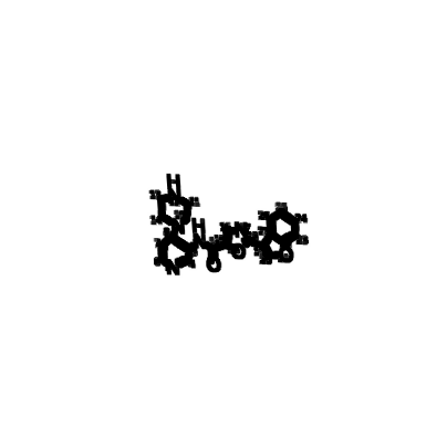 O=C(Nc1cnccc1N1CCNCC1)c1cnc(-c2coc3ccccc23)o1